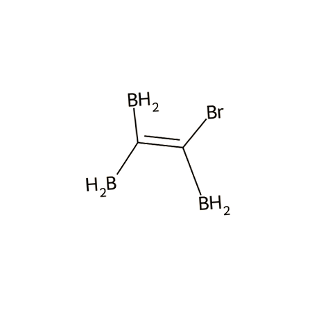 BC(B)=C(B)Br